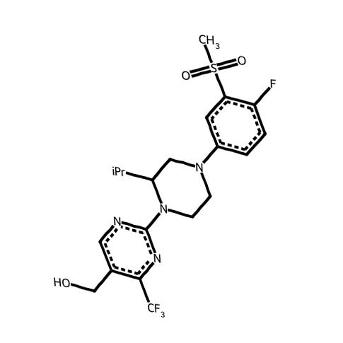 CC(C)C1CN(c2ccc(F)c(S(C)(=O)=O)c2)CCN1c1ncc(CO)c(C(F)(F)F)n1